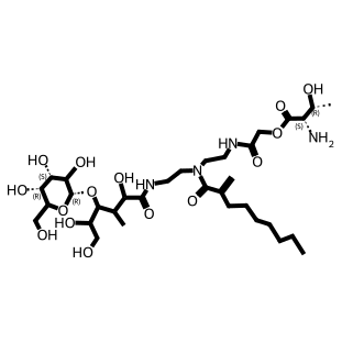 C=C(CCCCCCC)C(=O)N(CCNC(=O)COC(=O)[C@@H](N)[C@@H](C)O)CCNC(=O)C(O)C(C)C(O[C@@H]1OC(CO)[C@H](O)[C@H](O)C1O)C(O)CO